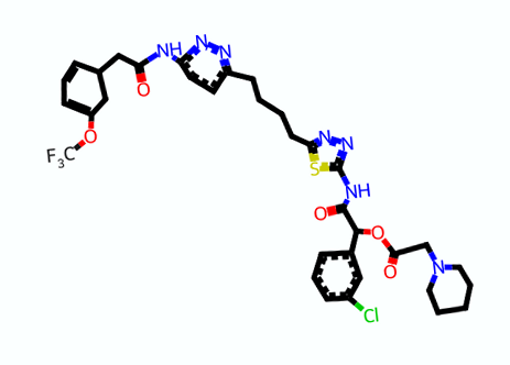 O=C(CC1C=CC=C(OC(F)(F)F)C1)Nc1ccc(CCCCc2nnc(NC(=O)C(OC(=O)CN3CCCCC3)c3cccc(Cl)c3)s2)nn1